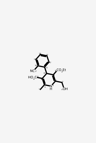 CCOC(=O)C1=C(CO)NC(C)=C(C(=O)O)C1c1ccccc1C#N